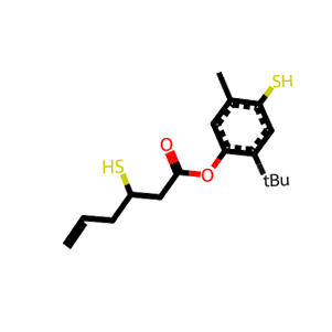 C=CCC(S)CC(=O)Oc1cc(C)c(S)cc1C(C)(C)C